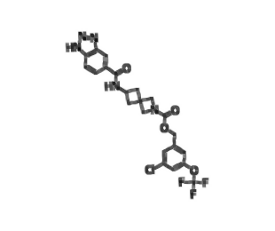 O=C(NC1CC2(C1)CN(C(=O)OCc1cc(Cl)cc(OC(F)(F)F)c1)C2)c1ccc2[nH]nnc2c1